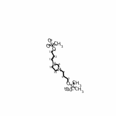 CC(C)(C)[Si](C)(C)OCCCN1[C]N(CCCOS(C)(=O)=O)CC1